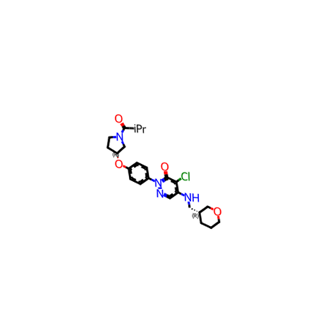 CC(C)C(=O)N1CC[C@@H](Oc2ccc(-n3ncc(NC[C@H]4CCCOC4)c(Cl)c3=O)cc2)C1